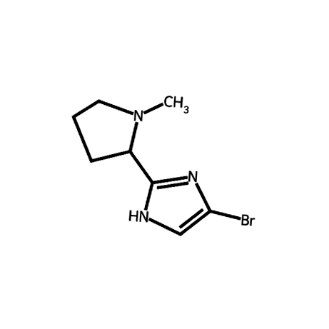 CN1CCCC1c1nc(Br)c[nH]1